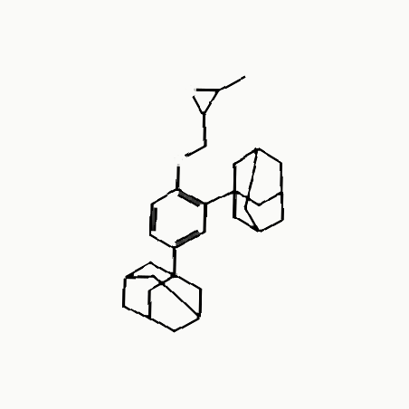 CC1OC1COc1ccc(C23CC4CC(CC(C4)C2)C3)cc1C12CC3CC(CC(C3)C1)C2